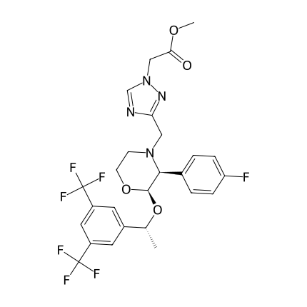 COC(=O)Cn1cnc(CN2CCO[C@H](O[C@H](C)c3cc(C(F)(F)F)cc(C(F)(F)F)c3)[C@@H]2c2ccc(F)cc2)n1